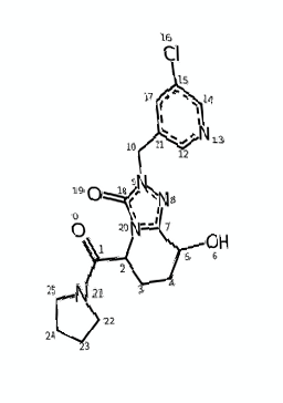 O=C(C1CCC(O)c2nn(Cc3cncc(Cl)c3)c(=O)n21)N1CCCC1